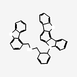 C1=CC(CNCc2cccc3oc4ccccc4c23)C(n2c3ccccc3c3c4oc5ccccc5c4ccc32)C=C1